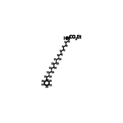 CCOC(=O)NCCCCCCCCCCCCCCCCCCc1ccccc1